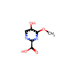 COc1nc(C(=O)O)ncc1O